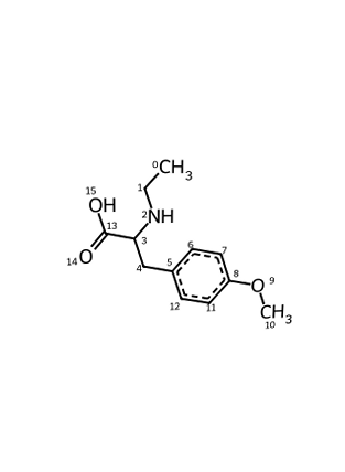 CCNC(Cc1ccc(OC)cc1)C(=O)O